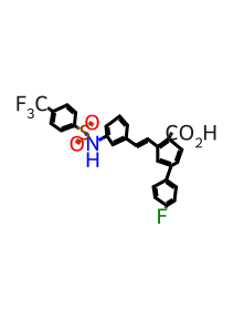 O=C(O)c1ccc(-c2ccc(F)cc2)cc1C=Cc1cccc(NS(=O)(=O)c2ccc(C(F)(F)F)cc2)c1